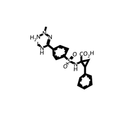 CN(N)/N=C(\NI)c1ccc(S(=O)(=O)NC2(C(=O)O)CC2c2ccccc2)cc1